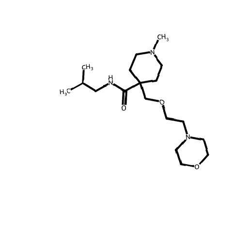 CC(C)CNC(=O)C1(COCCN2CCOCC2)CCN(C)CC1